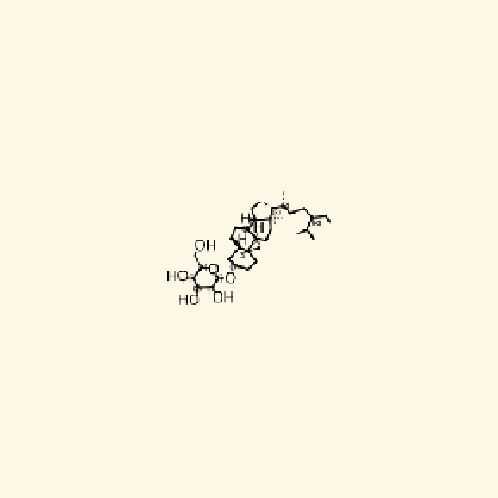 CC[C@H](CC[C@@H](C)[C@H]1CC[C@H]2[C@H]3CC=C4C[C@@H](O[C@H]5O[C@H](CO)[C@@H](O)[C@H](O)[C@H]5O)CC[C@@]4(C)[C@H]3CC[C@]12C)C(C)C